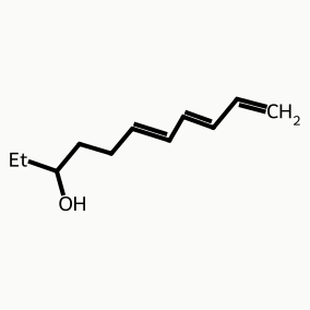 C=C/C=C/C=C/CCC(O)CC